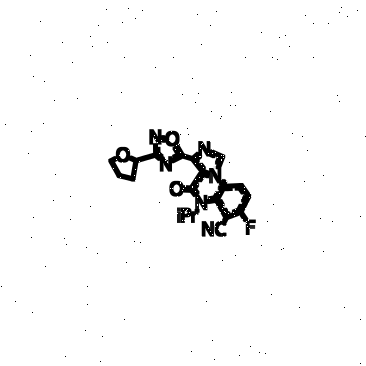 CC(C)n1c(=O)c2c(-c3nc(C4CCCO4)no3)ncn2c2ccc(F)c(C#N)c21